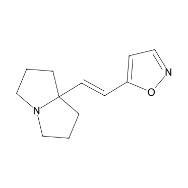 C(=C\C12CCCN1CCC2)/c1ccno1